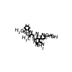 COc1ccccc1-c1nc(CSc2nc(N)c(C#N)c(-c3ccc(OCCO)nc3)c2C#N)c(C)o1